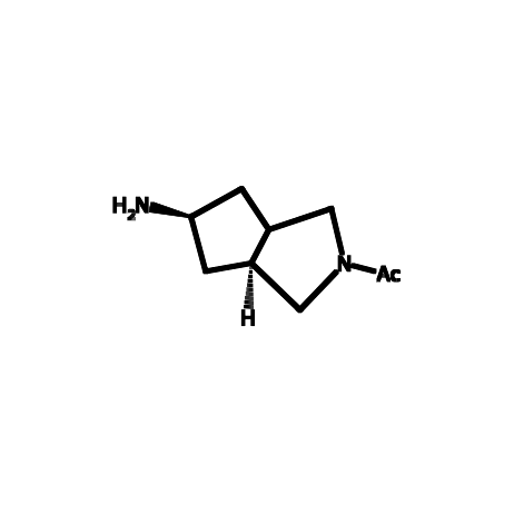 CC(=O)N1CC2C[C@H](N)C[C@@H]2C1